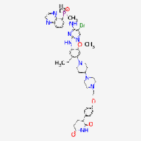 CCc1cc(Nc2ncc(Br)c(Nc3ccc4nccnc4c3P(C)(C)=O)n2)c(OC)cc1N1CCC(N2CCN(CCOc3ccc(C4CCC(=O)NC4=O)cc3)CC2)CC1